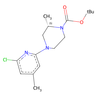 Cc1cc(Cl)nc(N2CCN(C(=O)OC(C)(C)C)[C@@H](C)C2)c1